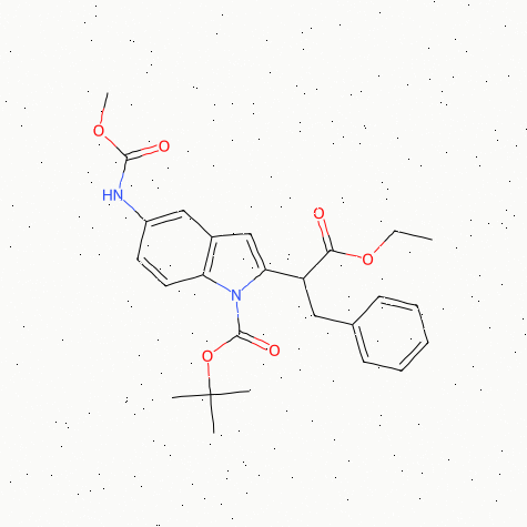 CCOC(=O)C(Cc1ccccc1)c1cc2cc(NC(=O)OC)ccc2n1C(=O)OC(C)(C)C